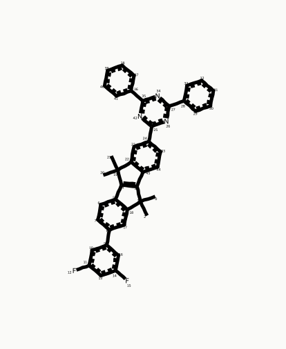 CC1(C)C2=C(c3ccc(-c4cc(F)cc(F)c4)cc31)C(C)(C)c1cc(-c3nc(-c4ccccc4)nc(-c4ccccc4)n3)ccc12